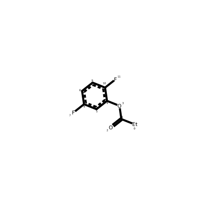 CCC(=O)Oc1cc(F)ccc1F